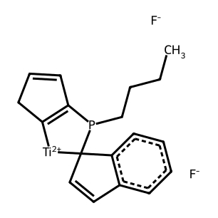 CCCCP1C2=[C](CC=C2)[Ti+2][C]12C=Cc1ccccc12.[F-].[F-]